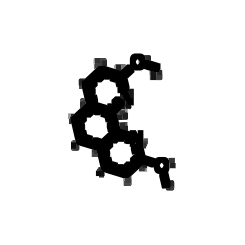 COc1ccc2ccc3ccc(OC)nc3c2n1